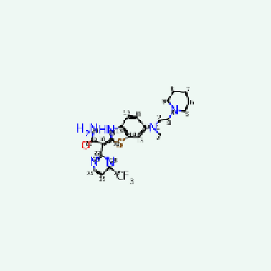 CN(CCN1CCCCC1)c1ccc2c(c1)S/C(=C(/C(N)=O)c1nccc(C(F)(F)F)n1)N2